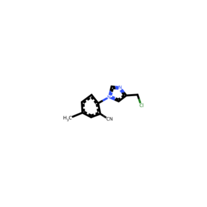 Cc1ccc(-n2cnc(CCl)c2)c(C#N)c1